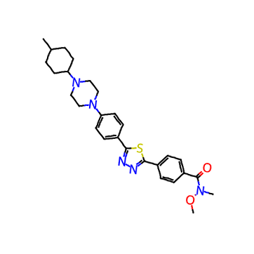 CON(C)C(=O)c1ccc(-c2nnc(-c3ccc(N4CCN(C5CCC(C)CC5)CC4)cc3)s2)cc1